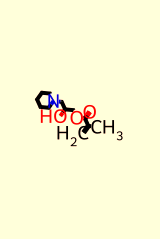 C=C(C)C(=O)OCC(O)CN1CCCCC1